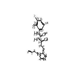 C=CCn1cnnc1SCC(=O)NC(=O)Nc1cccc(C)c1C